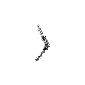 CCCCCCCCCCCCC(=O)Oc1ccc(Cc2ccc(OC(=O)CCCCCCCCCCCC)cc2)cc1